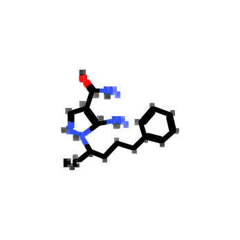 CC(CCCc1ccccc1)n1ncc(C(N)=O)c1N